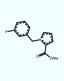 COC(=O)c1cccn1Cc1cccc(F)c1